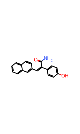 NC(=O)/C(=C\c1ccc2ccccc2c1)c1ccc(O)cc1